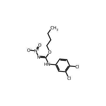 CCCCO/C(=N\[N+](=O)[O-])Nc1ccc(Cl)c(Cl)c1